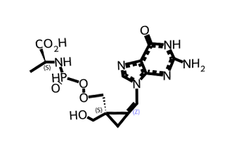 C[C@H](N[PH](=O)OOC[C@@]1(CO)C/C1=C/n1cnc2c(=O)[nH]c(N)nc21)C(=O)O